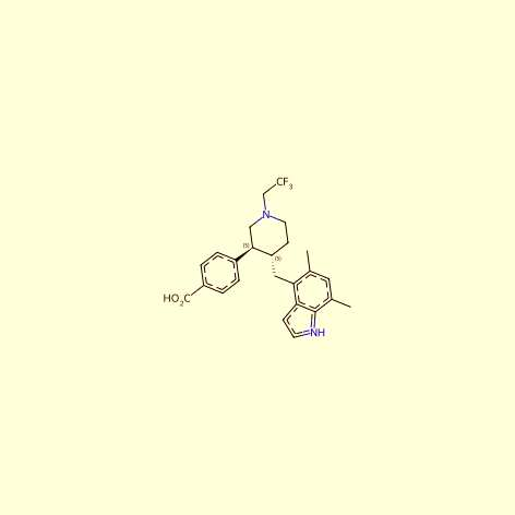 Cc1cc(C)c2[nH]ccc2c1C[C@H]1CCN(CC(F)(F)F)C[C@@H]1c1ccc(C(=O)O)cc1